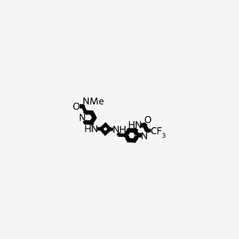 CNC(=O)c1ccc(NC2CC(NCc3ccc4nc(C(F)(F)F)c(=O)[nH]c4c3)C2)cn1